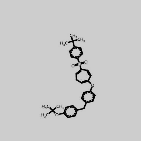 CC(C)(C)Oc1ccc(Cc2ccc(OC3=CCC=C(S(=O)(=O)c4ccc(C(C)(C)C)cc4)C=C3)cc2)cc1